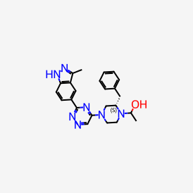 Cc1n[nH]c2ccc(-c3nncc(N4CCN(C(C)O)[C@@H](Cc5ccccc5)C4)n3)cc12